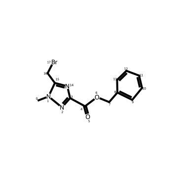 Cn1nc(C(=O)OCc2ccccc2)nc1CBr